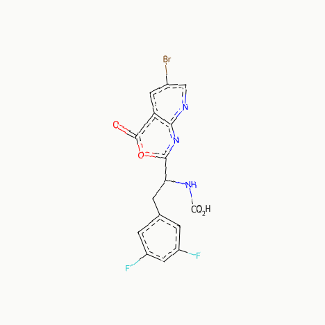 O=C(O)NC(Cc1cc(F)cc(F)c1)c1nc2ncc(Br)cc2c(=O)o1